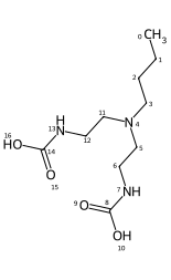 CCCCN(CCNC(=O)O)CCNC(=O)O